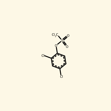 O=S(=O)(Oc1ccc(Cl)cc1Cl)C(Cl)(Cl)Cl